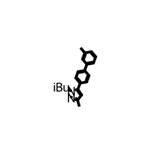 CCC(C)n1nc(C)cc1-c1ccc(-c2cccc(C)c2)cc1